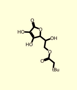 CC(C)(C)CC(=O)OCC(O)C1OC(=O)C(O)=C1O